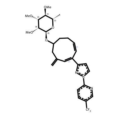 C=C1/C=C(c2ccn(-c3ccc(C(F)(F)F)cn3)n2)\C=C/CCC(O[C@@H]2O[C@@H](C)[C@H](OC)[C@@H](OC)[C@H]2OC)C1